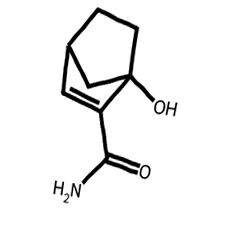 NC(=O)C1=CC2CCC1(O)C2